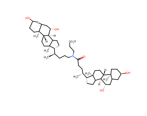 C[C@H](CCCN(CCS(=O)(=O)O)C(=O)CC[C@@H](C)[C@H]1CCC2[C@@H]3[C@@H](O)CC4C[C@H](O)CC[C@]4(C)[C@H]3CC[C@@]21C)[C@H]1CCC2[C@@H]3[C@@H](O)CC4C[C@H](O)CC[C@]4(C)[C@H]3CC[C@@]21C